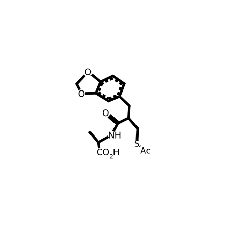 CC(=O)SCC(Cc1ccc2c(c1)OCO2)C(=O)NC(C)C(=O)O